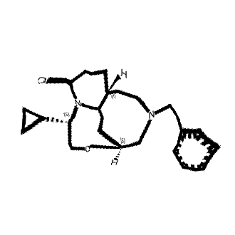 O=C1CC[C@@H]2CN(Cc3ccccc3)C[C@@H]3CC2N1[C@@H](C1CC1)CO3